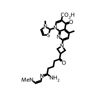 CN/C=C\N=C(/N)CCCC(=O)C1CN(c2cc(C)c3c(=O)c(C(=O)O)cn(C4SC=CN4C)c3n2)C1